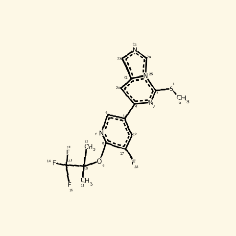 CSc1nc(-c2cnc(OC(C)(C)C(F)(F)F)c(F)c2)cc2cncn12